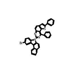 Brc1ccc2c(c1)c1c3ccccc3ccc1n2-c1nc(-c2ccccc2)c2c(ccc3cc(-c4ccccc4)sc32)n1